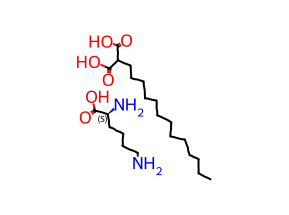 CCCCCCCCCCCCCC(C(=O)O)C(=O)O.NCCCC[C@H](N)C(=O)O